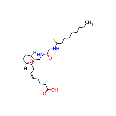 CCCCCCCCC(=S)NCC(=O)NC[C@H]1[C@@H](C/C=C\CCCC(=O)O)[C@H]2CC[C@@H]1O2